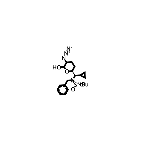 CC(C)(C)[S@@+]([O-])N(Cc1ccccc1)C(C1CC1)[C@@H]1CCC(N=[N+]=[N-])C(O)O1